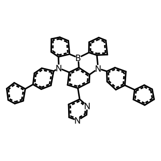 c1ccc(-c2ccc(N3c4ccccc4B4c5ccccc5N(c5ccc(-c6ccccc6)cc5)c5cc(-c6ccncn6)cc3c54)cc2)cc1